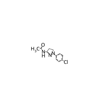 CC(=O)NC1=NN(c2ccc(Cl)cc2)CC1